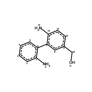 Nc1ccccc1-c1cc(CO)ccc1N